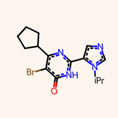 CC(C)n1cncc1-c1nc(C2CCCC2)c(Br)c(=O)[nH]1